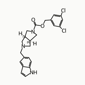 O=C(OCc1cc(Cl)cc(Cl)c1)N1C[C@H]2CN(Cc3ccc4[nH]ccc4c3)C[C@H]2C1